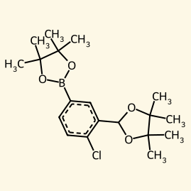 CC1(C)OB(c2ccc(Cl)c(C3OC(C)(C)C(C)(C)O3)c2)OC1(C)C